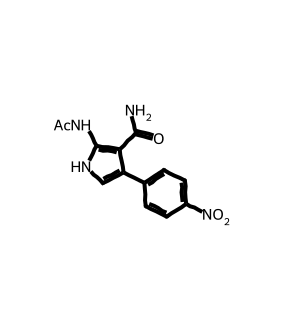 CC(=O)Nc1[nH]cc(-c2ccc([N+](=O)[O-])cc2)c1C(N)=O